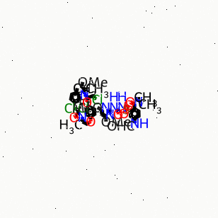 CC1COc2ccccc2N1C(=O)C(Cl)Cl.CCc1cccc(C)c1N(C(=O)CCl)C(C)COC.COc1cc(OC)nc(NC(=O)NS(=O)(=O)c2cc(NC=O)ccc2C(=O)N(C)C)n1